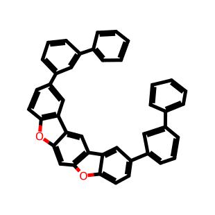 c1ccc(-c2cccc(-c3ccc4oc5cc6oc7ccc(-c8cccc(-c9ccccc9)c8)cc7c6cc5c4c3)c2)cc1